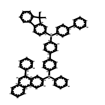 CC1(C)c2ccccc2-c2ccc(N(c3ccc(-c4ccccc4)cc3)c3ccc(-c4ccc(N(c5ccccc5)c5ccc6c(c5)c(-c5ccccc5)cc5ccccc56)cc4)cc3)cc21